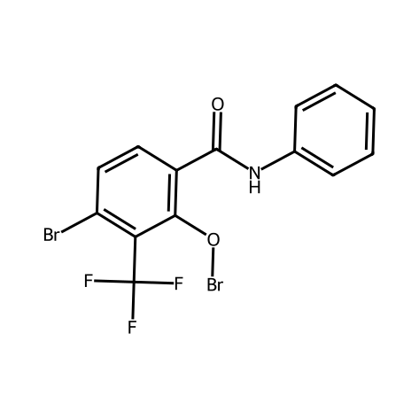 O=C(Nc1ccccc1)c1ccc(Br)c(C(F)(F)F)c1OBr